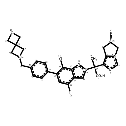 C[C@](C(=O)O)(c1ncn2c1C[C@@H](F)C2)n1cc2c(Cl)cc(-c3ccc(CN4CC5(COC5)C4)cc3)c(Cl)c2n1